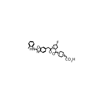 Cc1ccccc1Nc1nc2ccc(CC(=O)N3C[C@@H](F)C[C@H]3C(=O)N3CCN(CC(=O)O)CC3)cc2o1